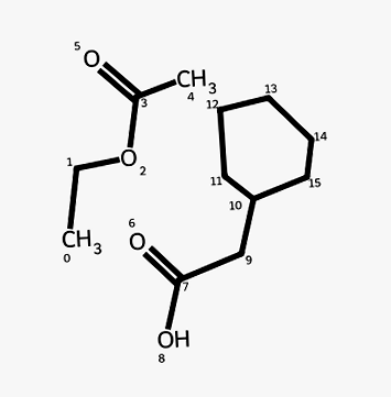 CCOC(C)=O.O=C(O)CC1CCCCC1